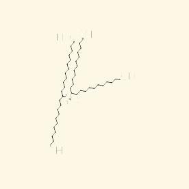 CCCCCCCCCCCCCC(CCCCCCCCCCCC)N(C)C(CCCCCCCCCCCC)CCCCCCCCCCCCC